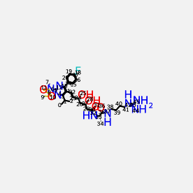 CC(C)c1nc(N(C)S(C)(=O)=O)nc(-c2ccc(F)cc2)c1/C=C/[C@H](O)C[C@@H](O)CC(=O)N[C@@H](C)C(=O)NCCCCNC(=N)N